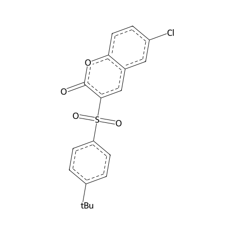 CC(C)(C)c1ccc(S(=O)(=O)c2cc3cc(Cl)ccc3oc2=O)cc1